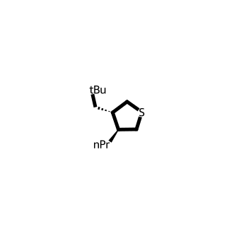 CCC[C@@H]1CSC[C@H]1CC(C)(C)C